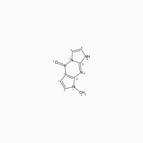 Cn1ccc2c(=O)n3cc[nH]c3nc21